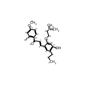 CCCc1cc(C=CC(=O)c2ccc(OC)cc2F)c(OCCN(C)C)cc1O